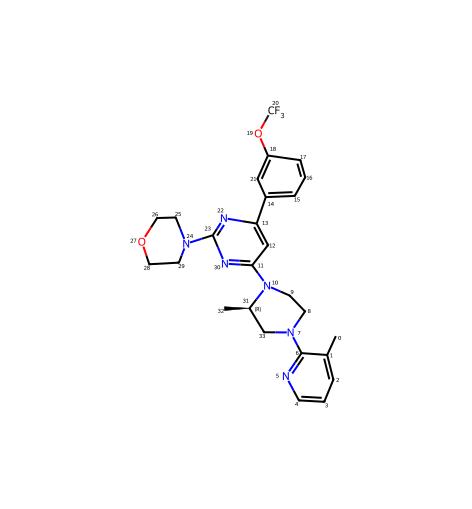 Cc1cccnc1N1CCN(c2cc(-c3cccc(OC(F)(F)F)c3)nc(N3CCOCC3)n2)[C@H](C)C1